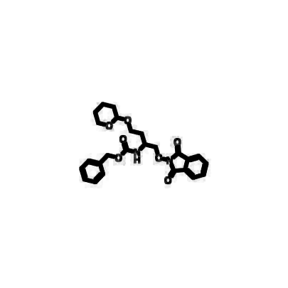 O=C(NC(CCOC1CCCCO1)CON1C(=O)c2ccccc2C1=O)OCc1ccccc1